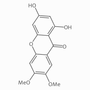 COc1cc2oc3cc(O)cc(O)c3c(=O)c2cc1OC